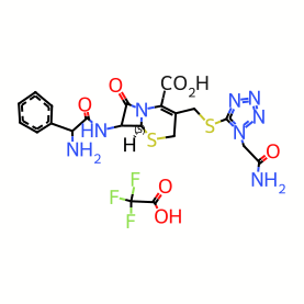 NC(=O)Cn1nnnc1SCC1=C(C(=O)O)N2C(=O)C(NC(=O)C(N)c3ccccc3)[C@@H]2SC1.O=C(O)C(F)(F)F